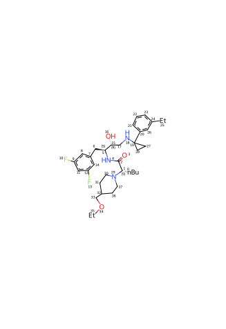 CCCC[C@@H](C(=O)N[C@@H](Cc1cc(F)cc(F)c1)[C@H](O)CNC1(c2cccc(CC)c2)CC1)N1CCC(COCC)CC1